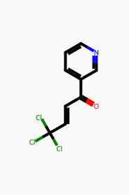 O=C(C=CC(Cl)(Cl)Cl)c1cccnc1